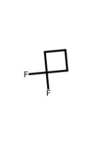 FC1(F)CCC1